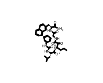 CC[C@H](C)C(NC(=O)[C@H](CC(C)C)NC(=O)Nc1ccccc1)C(=O)C(=O)NCC(=O)N[C@@H](Cc1ccc2ccccc2c1)C(N)=O